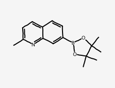 Cc1ccc2ccc(B3OC(C)(C)C(C)(C)O3)cc2n1